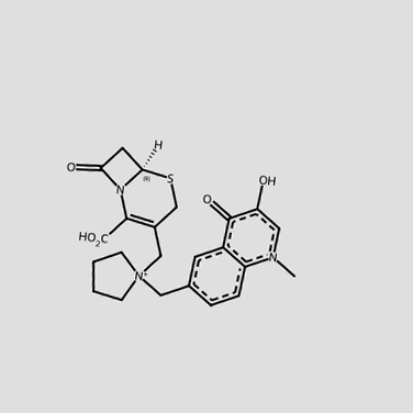 Cn1cc(O)c(=O)c2cc(C[N+]3(CC4=C(C(=O)O)N5C(=O)C[C@H]5SC4)CCCC3)ccc21